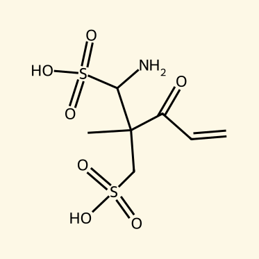 C=CC(=O)C(C)(CS(=O)(=O)O)C(N)S(=O)(=O)O